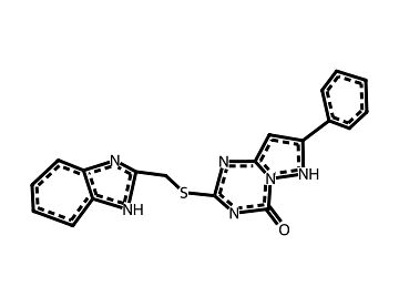 O=c1nc(SCc2nc3ccccc3[nH]2)nc2cc(-c3ccccc3)[nH]n12